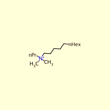 [CH2]CC[N+](C)(C)CCCCCCCCCCC